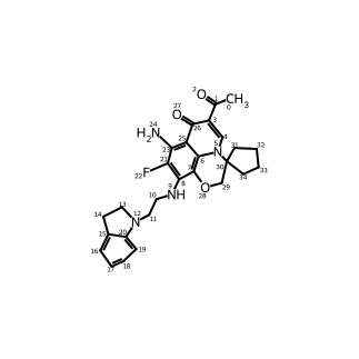 CC(=O)c1cn2c3c(c(NCCN4CCc5ccccc54)c(F)c(N)c3c1=O)OCC21CCCC1